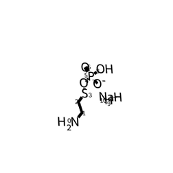 NCCSOP(=O)([O-])O.[H+].[NaH]